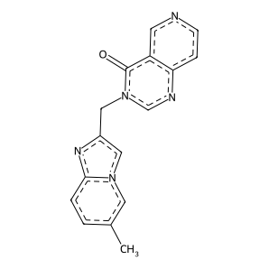 Cc1ccc2nc(Cn3cnc4ccncc4c3=O)cn2c1